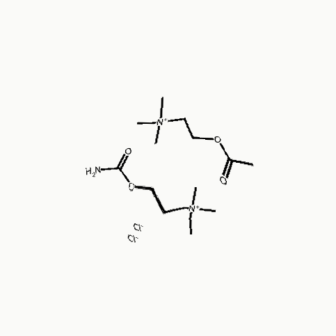 CC(=O)OCC[N+](C)(C)C.C[N+](C)(C)CCOC(N)=O.[Cl-].[Cl-]